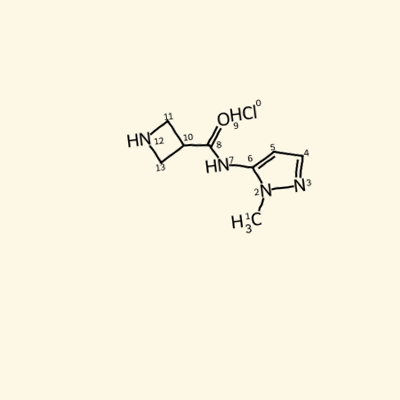 Cl.Cn1nccc1NC(=O)C1CNC1